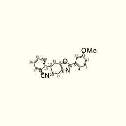 COc1cccc(-c2nc3c(o2)CC(c2ncccc2C#N)CC3)c1